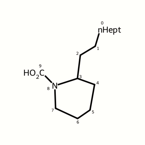 CCCCCCCCCC1CCCCN1C(=O)O